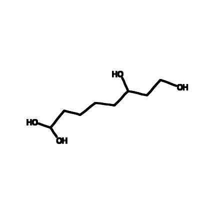 OCCC(O)CCCCC(O)O